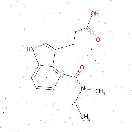 CCN(C)C(=O)c1cccc2[nH]cc(CCC(=O)O)c12